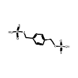 O=S(O)(=S)OCc1ccc(COS(=O)(O)=S)cc1